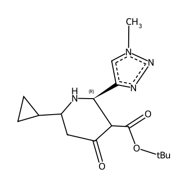 Cn1cc([C@@H]2NC(C3CC3)CC(=O)C2C(=O)OC(C)(C)C)nn1